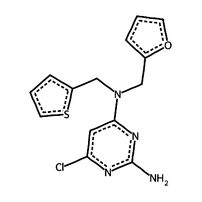 Nc1nc(Cl)cc(N(Cc2ccco2)Cc2cccs2)n1